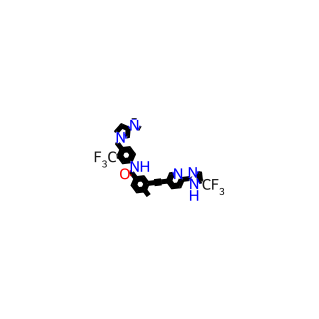 Cc1ccc(C(=O)Nc2ccc(CN3CCC(N(C)C)C3)c(C(F)(F)F)c2)cc1C#Cc1ccc(-c2ncc(C(F)(F)F)[nH]2)nc1